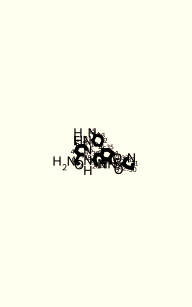 NC(=O)c1cc(F)c(N[C@@H]2CCCC[C@@H]2N)nc1Nc1cnc2c(NS(=O)(=O)c3cccnc3)cccc2c1